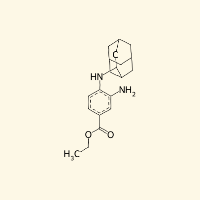 CCOC(=O)c1ccc(NC2CC3CC4CC(C3)CC2C4)c(N)c1